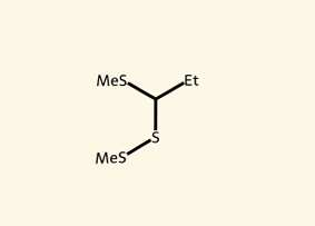 CCC(SC)SSC